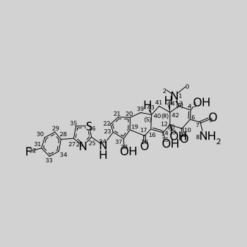 CN(C)[C@H]1C(O)=C(C(N)=O)C(=O)[C@]2(O)C(O)=C3C(=O)c4c(ccc(Nc5nc(-c6ccc(F)cc6)cs5)c4O)C[C@@H]3C[C@H]12